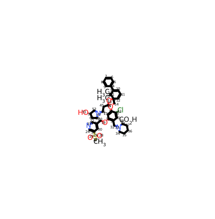 CC1(C)C(c2ccccc2)=CC=CC1(COc1cc(OCc2cncc(S(C)(=O)=O)c2)c(CN2CCCC[C@H]2C(=O)O)cc1Cl)OCCCN1CC[C@H](O)C1